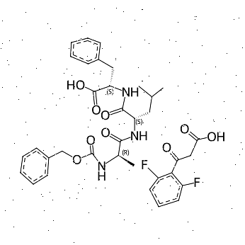 CC(C)C[C@H](NC(=O)[C@@H](C)NC(=O)OCc1ccccc1)C(=O)N[C@@H](Cc1ccccc1)C(=O)O.O=C(O)CC(=O)c1c(F)cccc1F